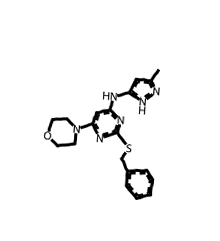 Cc1cc(Nc2cc(N3CCOCC3)nc(SCc3ccccc3)n2)[nH]n1